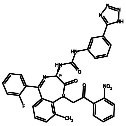 Cc1cccc2c1N(CC(=O)c1ccccc1[N+](=O)[O-])C(=O)[C@H](NC(=O)Nc1cccc(-c3nnn[nH]3)c1)N=C2c1ccccc1F